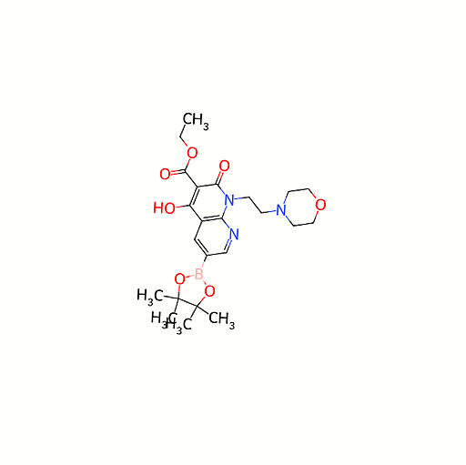 CCOC(=O)c1c(O)c2cc(B3OC(C)(C)C(C)(C)O3)cnc2n(CCN2CCOCC2)c1=O